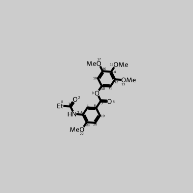 CCC(=O)Nc1cc(C(=O)Oc2cc(OC)c(OC)c(OC)c2)ccc1OC